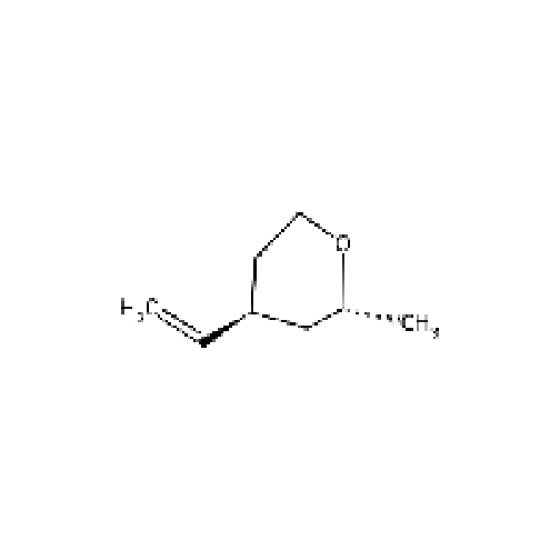 C=C[C@H]1CCO[C@H](C)C1